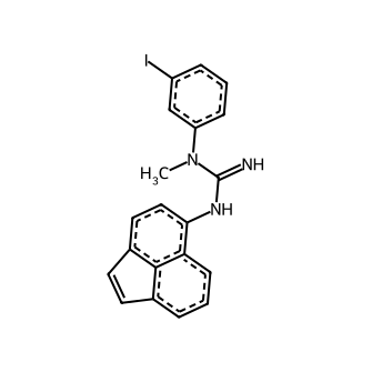 CN(C(=N)Nc1ccc2c3c(cccc13)C=C2)c1cccc(I)c1